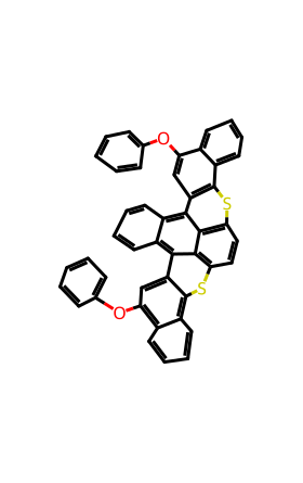 c1ccc(Oc2cc3c(c4ccccc24)Sc2ccc4c5c(c6ccccc6c-3c25)-c2cc(Oc3ccccc3)c3ccccc3c2S4)cc1